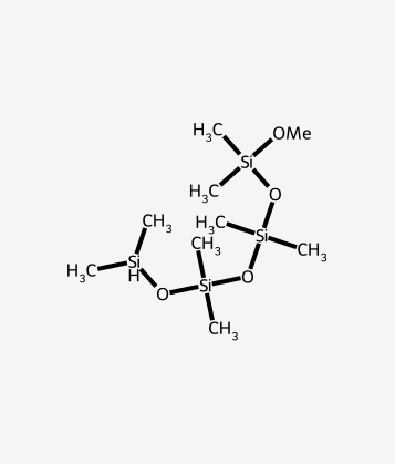 CO[Si](C)(C)O[Si](C)(C)O[Si](C)(C)O[SiH](C)C